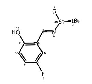 CC(C)(C)[S@+]([O-])N=Cc1cc(F)ccc1O